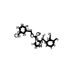 Cc1cccc([C@H](C)c2nccn2C(=O)OCc2cccc(Cl)c2)c1C